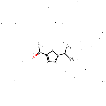 CC(=O)C1=CCC(C(C)C)C1